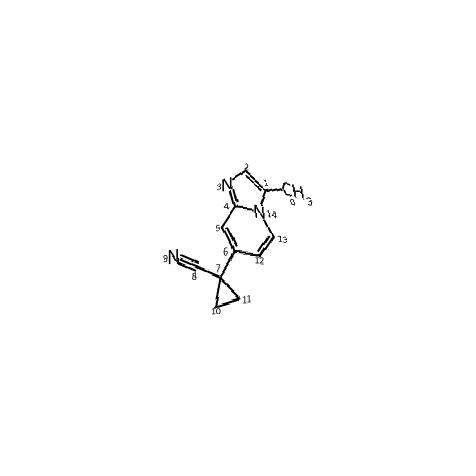 Cc1cnc2cc(C3(C#N)CC3)ccn12